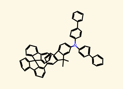 CC1(C)c2cc(-c3cccc4c3C3(c5ccccc5-c5ccccc53)c3ccccc3-4)ccc2-c2ccc(N(c3ccc(-c4ccccc4)cc3)c3ccc(-c4ccccc4)cc3)cc21